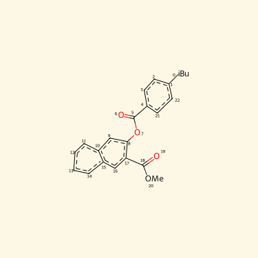 CCC(C)c1ccc(C(=O)Oc2cc3ccccc3cc2C(=O)OC)cc1